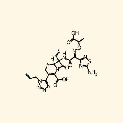 C=CCn1nnnc1C1=C(C(=O)O)N2C(=O)C(C=S)(NC(=O)C(=NOC(C)C(=O)O)c3nsc(N)n3)[C@@H]2SC1